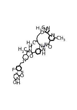 Cc1cc2cc(n1)-c1cnn(C)c1OCCC[C@@H](C)CN1/C(=N/C2=O)Nc2ccc(C(=O)N[C@H](C)C3CCN(CCc4cc(F)c([C@H]5CCC(=O)NC5=O)c(F)c4)CC3)cc21